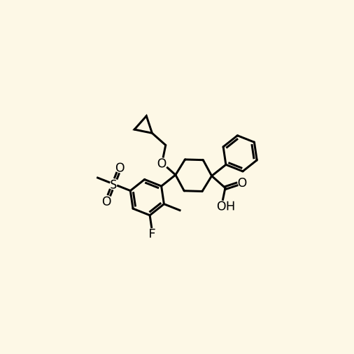 Cc1c(F)cc(S(C)(=O)=O)cc1C1(OCC2CC2)CCC(C(=O)O)(c2ccccc2)CC1